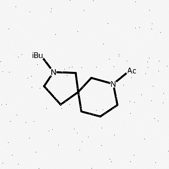 CCC(C)N1CCC2(CCCN(C(C)=O)C2)C1